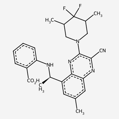 Cc1cc([C@@H](C)Nc2ccccc2C(=O)O)c2nc(N3CC(C)C(F)(F)C(C)C3)c(C#N)nc2c1